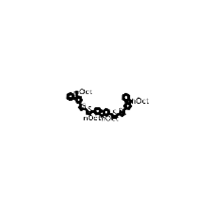 CCCCCCCCn1c2ccccc2c2cc(-c3ccc(-c4ccc(-c5ccc6c(c5)C(CCCCCCCC)(CCCCCCCC)c5cc(-c7ccc(-c8ccc(-c9ccc%10c(c9)c9ccccc9n%10CCCCCCCC)s8)s7)ccc5-6)s4)s3)ccc21